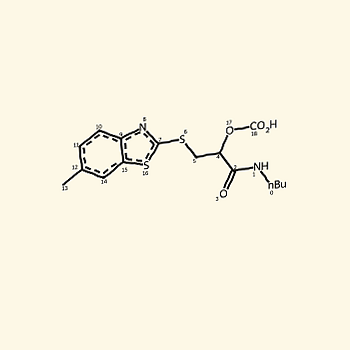 CCCCNC(=O)C(CSc1nc2ccc(C)cc2s1)OC(=O)O